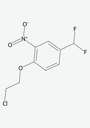 O=[N+]([O-])c1cc(C(F)F)ccc1OCCCl